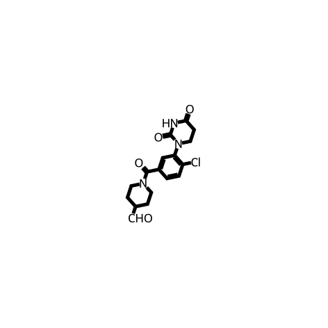 O=CC1CCN(C(=O)c2ccc(Cl)c(N3CCC(=O)NC3=O)c2)CC1